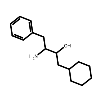 NC(Cc1ccccc1)C(O)C[C]1CCCCC1